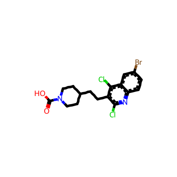 O=C(O)N1CCC(CCc2c(Cl)nc3ccc(Br)cc3c2Cl)CC1